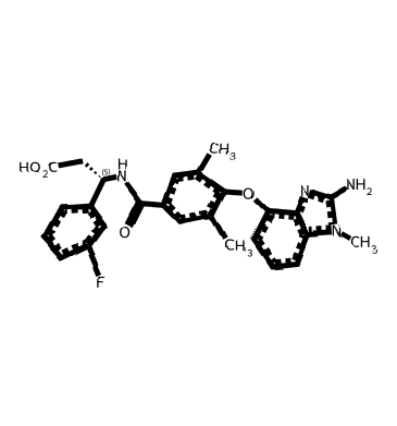 Cc1cc(C(=O)N[C@@H](CC(=O)O)c2cccc(F)c2)cc(C)c1Oc1cccc2c1nc(N)n2C